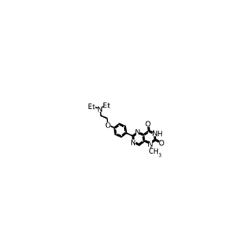 CCN(CC)CCOc1ccc(-c2ncc3c(n2)c(=O)[nH]c(=O)n3C)cc1